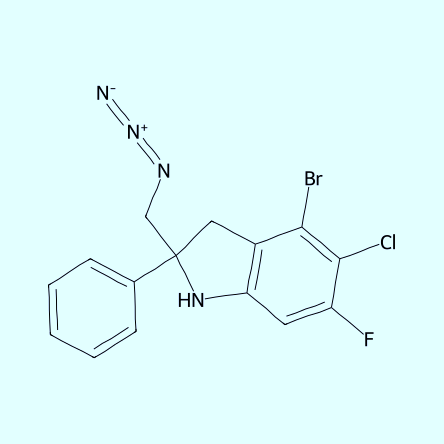 [N-]=[N+]=NCC1(c2ccccc2)Cc2c(cc(F)c(Cl)c2Br)N1